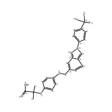 CC(C)(Oc1ccc(OCc2ccc3cn(-c4ccc(C(F)(F)F)cc4)nc3c2)cc1)C(=O)O